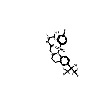 C[C@@H](NC(=O)C[C@@H]1CCc2cc(C(O)(C(F)(F)F)C(F)(F)F)ccc2N1S(=O)(=O)c1ccc(F)cc1)C(N)=O